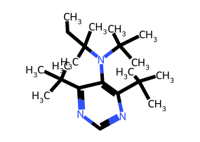 CCC(C)(C)N(c1c(C(C)(C)C)ncnc1C(C)(C)C)C(C)(C)C